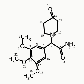 COc1cc(C(C(N)=O)N2CCC(=O)CC2)cc(OC)c1OC